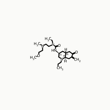 C=C1C[C@@H]2[C@@H](CC1=O)C[C@H](NC(=O)N(CC)CCN(C)CCOC)CN2CCC